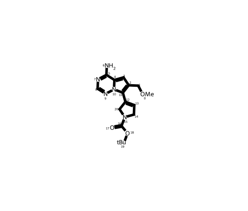 COCc1cc2c(N)ncnn2c1C1=CCN(C(=O)OC(C)(C)C)C1